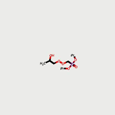 CC(O)COOCP(=O)(OC(C)C)OC(C)C